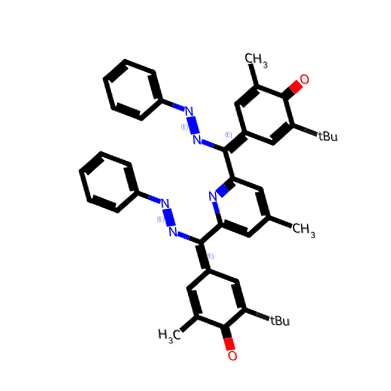 CC1=C/C(=C(\N=N\c2ccccc2)c2cc(C)cc(C(/N=N/c3ccccc3)=C3/C=C(C)C(=O)C(C(C)(C)C)=C3)n2)C=C(C(C)(C)C)C1=O